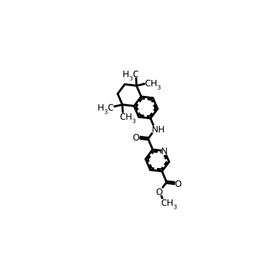 COC(=O)c1ccc(C(=O)Nc2ccc3c(c2)C(C)(C)CCC3(C)C)nc1